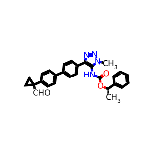 C[C@@H](OC(=O)Nc1c(-c2ccc(-c3ccc(C4(C=O)CC4)cc3)cc2)nnn1C)c1ccccc1